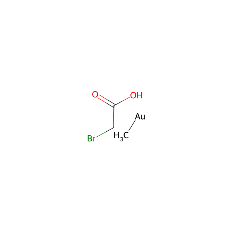 O=C(O)CBr.[CH3][Au]